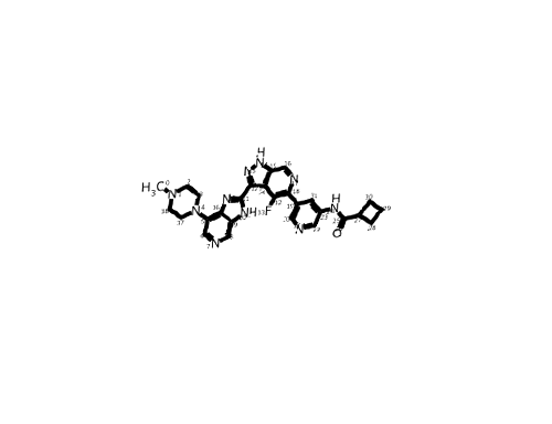 CN1CCN(c2cncc3[nH]c(-c4n[nH]c5cnc(-c6cncc(NC(=O)C7CCC7)c6)c(F)c45)nc23)CC1